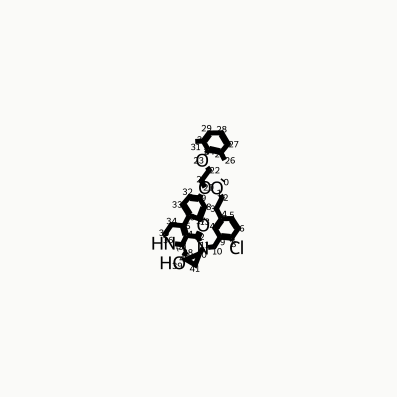 COCCc1ccc(Cl)c(CN(C(=O)C2=C(c3ccc(OCCOc4c(C)cccc4C)cc3)CCN[C@@H]2CO)C2CC2)c1